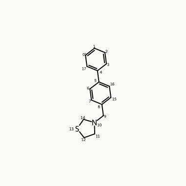 [c]1cccc(-c2ccc(CN3CCSC3)cc2)c1